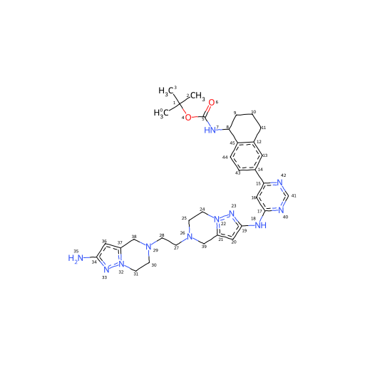 CC(C)(C)OC(=O)NC1CCCc2cc(-c3cc(Nc4cc5n(n4)CCN(CCN4CCn6nc(N)cc6C4)C5)ncn3)ccc21